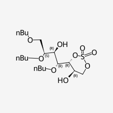 CCCCOC[C@H](OCCCC)[C@@H](O)[C@@H](OCCCC)[C@@H]1OS(=O)(=O)OC[C@H]1O